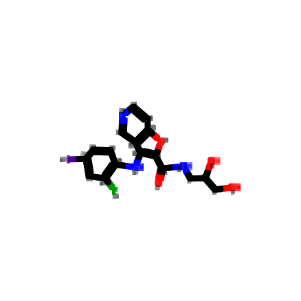 O=C(NCC(O)CO)c1oc2ccncc2c1Nc1ccc(I)cc1F